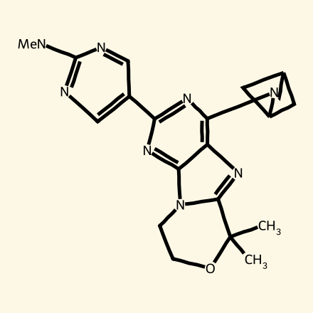 CNc1ncc(-c2nc(N3CC4CC3C4)c3nc4n(c3n2)CCOC4(C)C)cn1